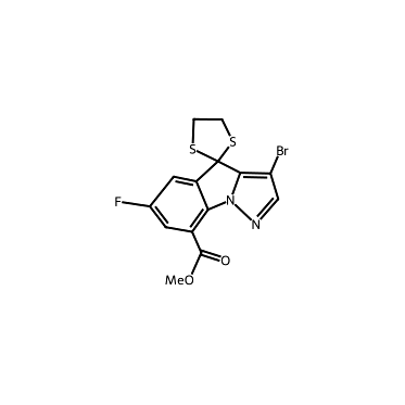 COC(=O)c1cc(F)cc2c1-n1ncc(Br)c1C21SCCS1